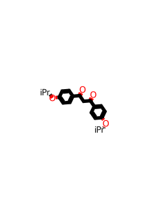 CC(C)Oc1ccc(C(=O)CC(=O)c2ccc(OC(C)C)cc2)cc1